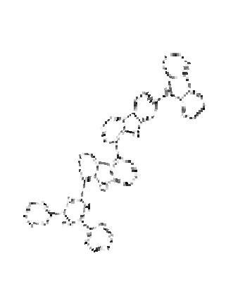 C1=c2c(oc3cccc(-c4cccc5c4oc4cc(-n6c7ccccc7c7ccccc76)ccc45)c23)=C(C2=NC(c3ccccc3)NC(c3ccccc3)=N2)CC1